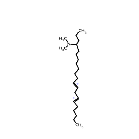 CCCCC/C=C/C/C=C/CCCCCCCC(CCC)N(C)C